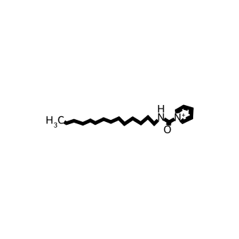 CCCCCCCCCCCCCCNC(=O)[n+]1ccccc1